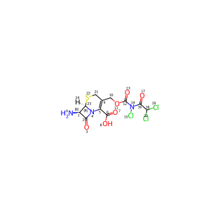 N[C@@H]1C(=O)N2C(C(=O)O)=C(COC(=O)N(Cl)C(=O)C(Cl)Cl)CS[C@H]12